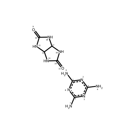 Nc1nc(N)nc(N)n1.O=C1NC2NC(=O)NC2N1